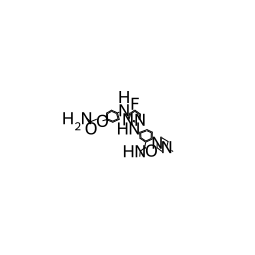 CNC(=O)c1cc(Nc2ncc(F)c(Nc3ccc(OCC(N)=O)cc3)n2)ccc1N1CCN(C)CC1